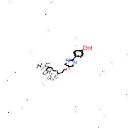 CC(C)CCC[C@H](C)CCOc1cnc(-c2ccc(O)cc2)nc1